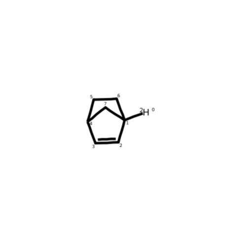 [2H]C12C=CC(CC1)C2